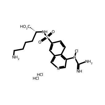 Cl.Cl.N=C(N)N(Cl)c1cncc2cc(S(=O)(=O)N[C@H](CCCCN)C(=O)O)ccc12